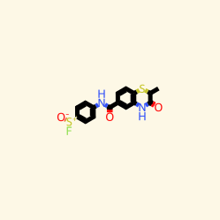 CC1Sc2ccc(C(=O)Nc3ccc([S+]([O-])F)cc3)cc2NC1=O